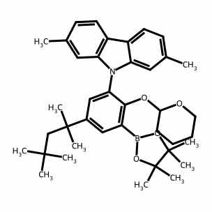 Cc1ccc2c3ccc(C)cc3n(-c3cc(C(C)(C)CC(C)(C)C)cc(B4OC(C)(C)C(C)(C)O4)c3OC3CCCCO3)c2c1